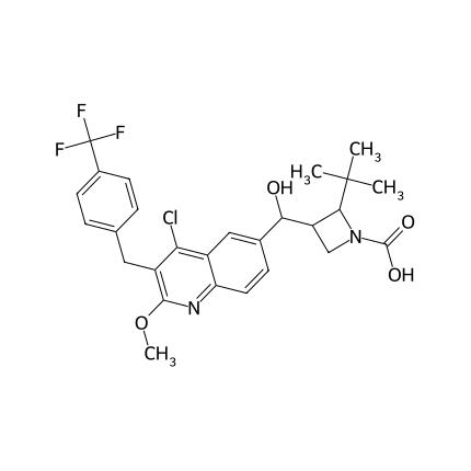 COc1nc2ccc(C(O)C3CN(C(=O)O)C3C(C)(C)C)cc2c(Cl)c1Cc1ccc(C(F)(F)F)cc1